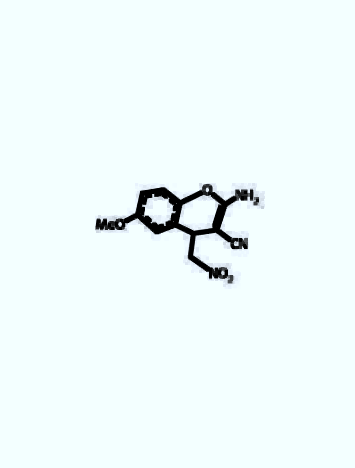 COc1ccc2c(c1)C(C[N+](=O)[O-])C(C#N)=C(N)O2